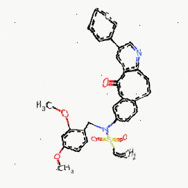 C=CS(=O)(=O)N(Cc1ccc(OC)cc1OC)c1ccc2ccc3ncc(-c4ccccc4)cc3c(=O)c2c1